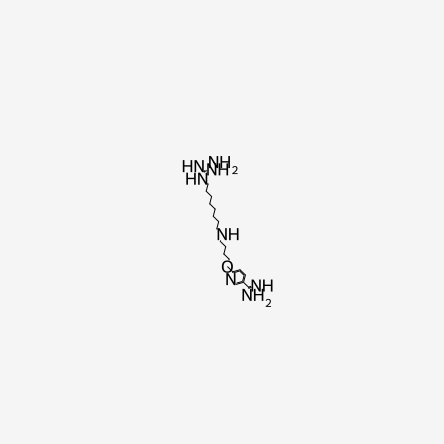 N=C(NN)NCCCCCCCCNCCCCOc1ccc(C(=N)N)cn1